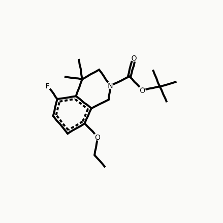 CCOc1ccc(F)c2c1CN(C(=O)OC(C)(C)C)CC2(C)C